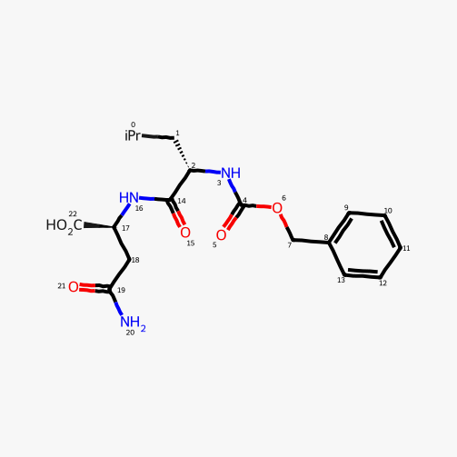 CC(C)C[C@H](NC(=O)OCc1ccccc1)C(=O)N[C@@H](CC(N)=O)C(=O)O